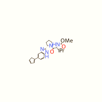 COC(=O)N[C@H](C(=O)N1CCC[C@H]1c1nc2cc(C3=CC=CC3)ccc2[nH]1)C(C)C